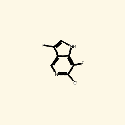 Fc1c(Cl)ncc2c(I)c[nH]c12